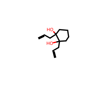 C=CCC1(O)CCCCC1(O)CC=C